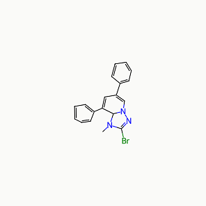 CN1C(Br)=NN2C=C(c3ccccc3)C=C(c3ccccc3)C21